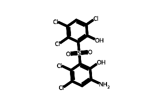 Nc1cc(Cl)c(Cl)c(S(=O)(=O)c2c(O)c(Cl)cc(Cl)c2Cl)c1O